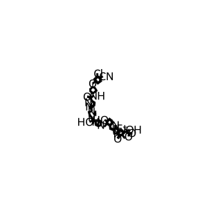 CC[C@@]1(O)C(=O)OCc2c1cc1n(c2=O)Cc2cc3c(CN4CCN(C(O)N5CCN(c6ccc(C(=O)N[C@H]7CC[C@H](Oc8ccc(C#N)c(Cl)c8)CC7)nn6)CC5)CC4)c(O)ccc3nc2-1